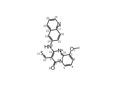 COc1cccn2c(=O)c(C=S)c(Nc3ccc4ncccc4c3)nc12